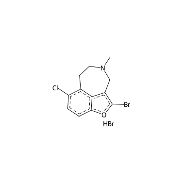 Br.CN1CCc2c(Cl)ccc3oc(Br)c(c23)C1